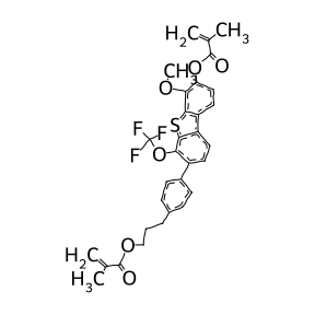 C=C(C)C(=O)OCCCc1ccc(-c2ccc3c(sc4c(OC)c(OC(=O)C(=C)C)ccc43)c2OC(F)(F)F)cc1